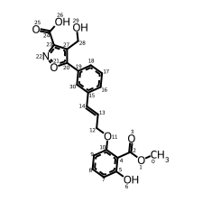 COC(=O)c1c(O)cccc1OCC=Cc1cccc(-c2onc(C(=O)O)c2CO)c1